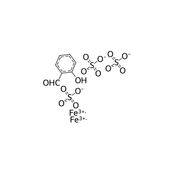 O=Cc1ccccc1O.O=S(=O)([O-])[O-].O=S(=O)([O-])[O-].O=S(=O)([O-])[O-].[Fe+3].[Fe+3]